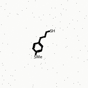 CSc1ccc(CCCS)cc1